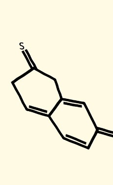 S=C1C=CC2=CCC(=S)CC2=C1